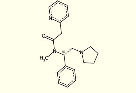 CN(C(=O)Cc1ccccn1)[C@H](CN1CCCC1)c1ccccc1